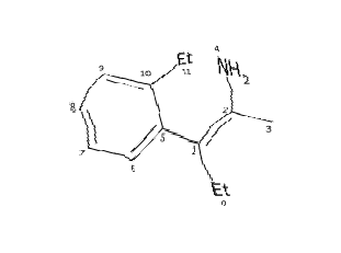 CCC(=C(C)N)c1ccccc1CC